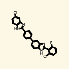 Fc1cccc(Cl)c1-c1nc2cc(-c3ccc(-c4nc5cc(Cl)ccc5[nH]4)cc3)ccc2[nH]1